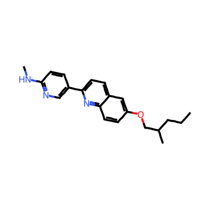 CCCC(C)COc1ccc2nc(-c3ccc(NC)nc3)ccc2c1